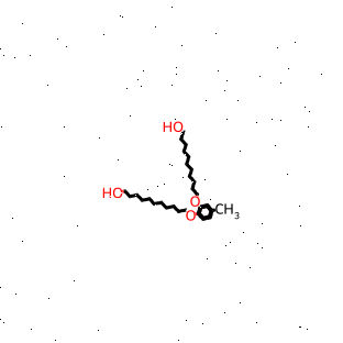 Cc1ccc(OCCCCCCCCCCCO)c(OCCCCCCCCCCCO)c1